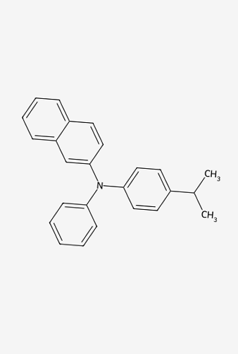 CC(C)c1ccc(N(c2ccccc2)c2ccc3ccccc3c2)cc1